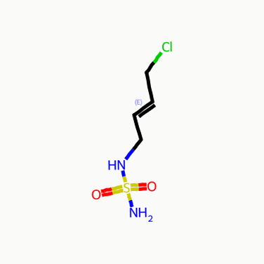 NS(=O)(=O)NC/C=C/CCl